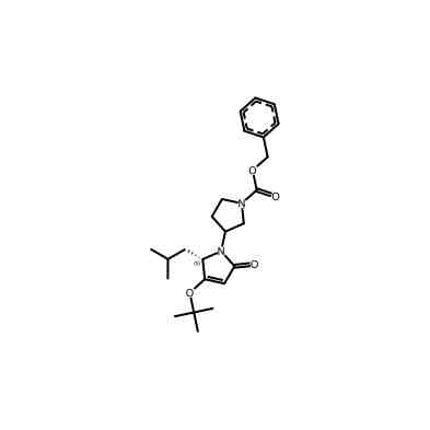 CC(C)C[C@H]1C(OC(C)(C)C)=CC(=O)N1C1CCN(C(=O)OCc2ccccc2)C1